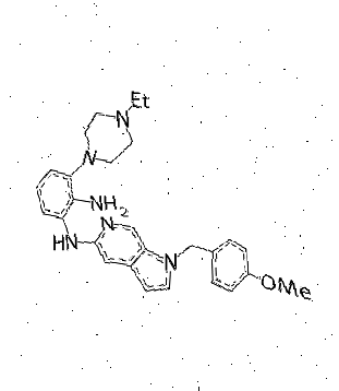 CCN1CCN(c2cccc(Nc3cc4ccn(Cc5ccc(OC)cc5)c4cn3)c2N)CC1